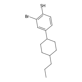 CCCC1CCC(c2ccc(S)c(Br)c2)CC1